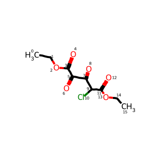 CCOC(=O)C(=O)C(=O)C(Cl)C(=O)OCC